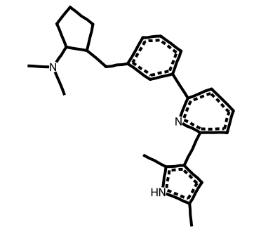 Cc1cc(-c2cccc(-c3cccc(CC4CCCC4N(C)C)c3)n2)c(C)[nH]1